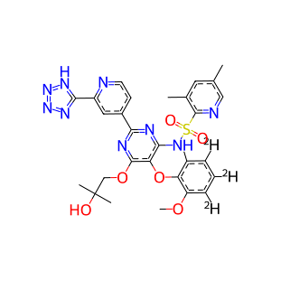 [2H]c1c([2H])c(C)c(Oc2c(NS(=O)(=O)c3ncc(C)cc3C)nc(-c3ccnc(-c4nnn[nH]4)c3)nc2OCC(C)(C)O)c(OC)c1[2H]